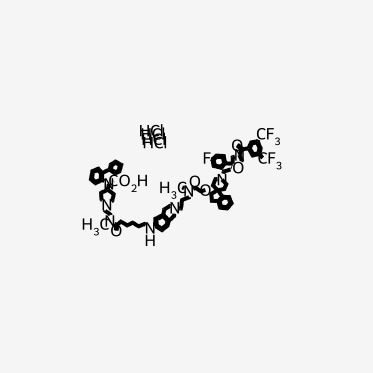 CN(CCN1CCC(N(C(=O)O)c2ccccc2-c2ccccc2)CC1)C(=O)CCCCCNc1ccc2c(c1)CCN(CCCN(C)C(=O)CO[C@H]1Cc3ccccc3C13CCN(CC[C@]1(c4ccc(F)cc4)CN(C(=O)c4cc(C(F)(F)F)cc(C(F)(F)F)c4)CO1)CC3)C2.Cl.Cl.Cl.Cl